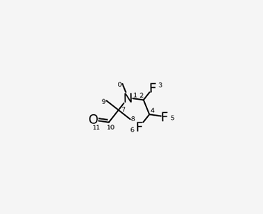 CN(C(F)C(F)F)C(C)(C)C=O